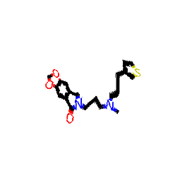 CN(CCCc1ccsc1)CCCN1Cc2cc3c(cc2C1=O)OCO3